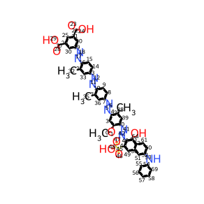 COc1cc(N=Nc2ccc(N=Nc3ccc(N=Nc4cc(C(=O)O)cc(C(=O)O)c4)c(C)c3)c(C)c2)c(C)cc1N=Nc1c(S(=O)(=O)O)cc2cc(Nc3ccccc3)ccc2c1O